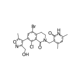 Cc1cc(C)c(CN2CCc3c(Br)cc(-c4c(CO)noc4C)c(Cl)c3C2=O)c(=O)[nH]1